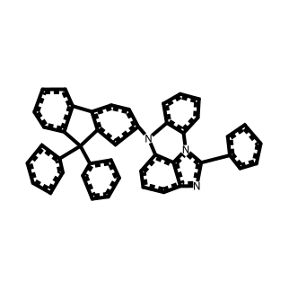 c1ccc(-c2nc3cccc4c3n2-c2ccccc2N4c2ccc3c(c2)C(c2ccccc2)(c2ccccc2)c2ccccc2-3)cc1